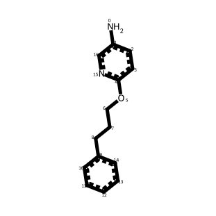 Nc1ccc(OCCCc2ccccc2)nc1